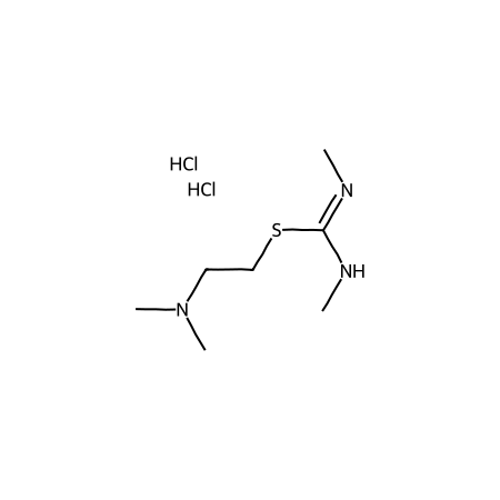 CN=C(NC)SCCN(C)C.Cl.Cl